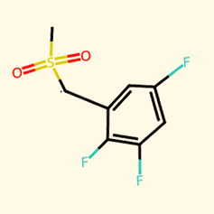 CS(=O)(=O)[CH]c1cc(F)cc(F)c1F